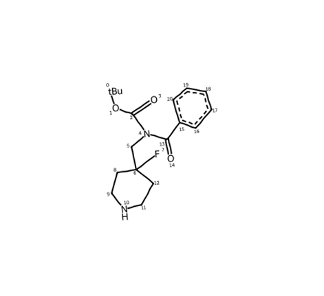 CC(C)(C)OC(=O)N(CC1(F)CCNCC1)C(=O)c1ccccc1